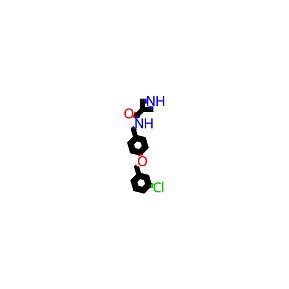 O=C(NCc1ccc(OCc2cccc(Cl)c2)cc1)C1CNC1